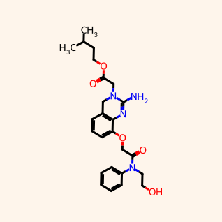 CC(C)CCOC(=O)CN1Cc2cccc(OCC(=O)N(CCO)c3ccccc3)c2N=C1N